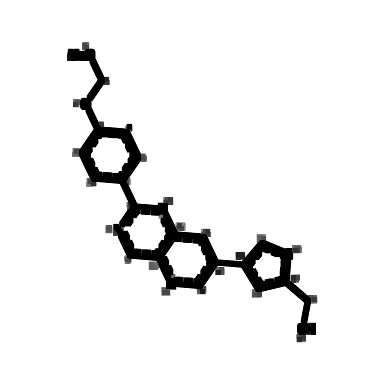 COCOc1ccc(-c2ncc3ncc(-c4csc(CO)c4)cc3n2)cc1